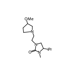 COC1CCN(CCN2CC(C(C)C)N(C)C2=O)C1